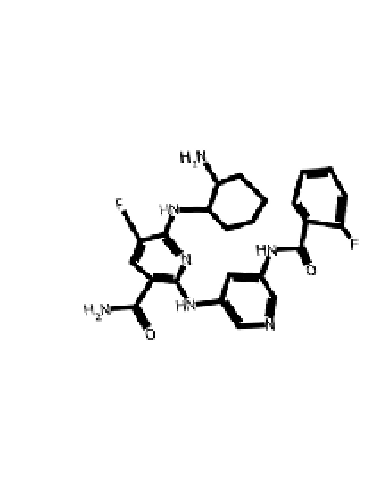 NC(=O)c1cc(F)c(NC2CCCCC2N)nc1Nc1cncc(NC(=O)c2ccccc2F)c1